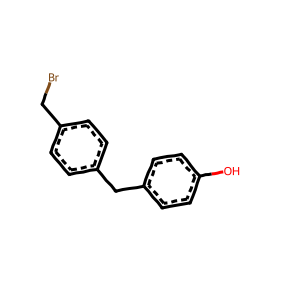 Oc1ccc(Cc2ccc(CBr)cc2)cc1